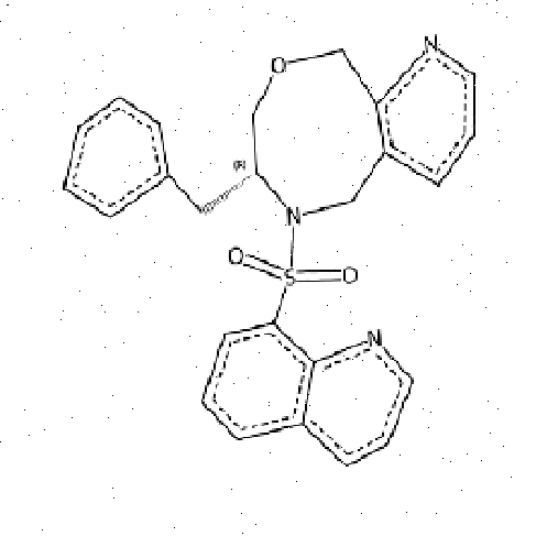 O=S(=O)(c1cccc2cccnc12)N1Cc2cccnc2COC[C@H]1Cc1ccccc1